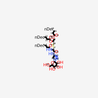 CCCCCCCCCCCCC(=O)N[C@H](CSC[C@@H](COC(=O)CCCCCCCCCCCC)OC(=O)CCCCCCCCCCCC)C(=O)Nc1cn([C@@H]2OC(CO)C(O)C(O)C2O)nn1